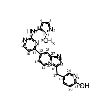 Cn1nccc1Nc1nccc(-c2ccn3c(Cc4ccc(O)nc4)nnc3c2)n1